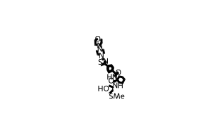 CSCC[C@@H](CO)NC(=O)C1(NC(=O)c2ccc(-c3csc(N4CCN(N5CCOCC5)CC4)n3)cc2)CCCCC1